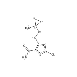 NC(=O)c1sc(Cl)cc1OCC1(N)CC1